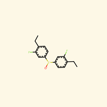 CCc1ccc([S+]([O-])c2ccc(CC)c(F)c2)cc1F